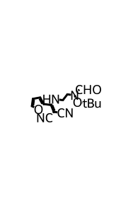 CC(C)(C)ON(C=O)CCNC(=C(C#N)C#N)c1ccco1